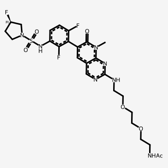 CC(=O)NCCOCCOCCNc1ncc2cc(-c3c(F)ccc(NS(=O)(=O)N4CC[C@@H](F)C4)c3F)c(=O)n(C)c2n1